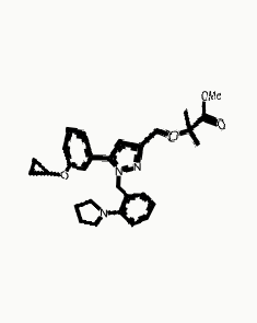 COC(=O)C(C)(C)OCc1cc(-c2cccc(OC3CC3)c2)n(Cc2ccccc2N2CCCC2)n1